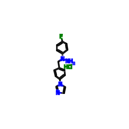 Cl.NN(Cc1ccc(-n2ccnc2)cc1)c1ccc(F)cc1